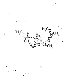 CCCC(C)NCCC(C)CC(C)(C)OCCN(C)COCCN(C)COC